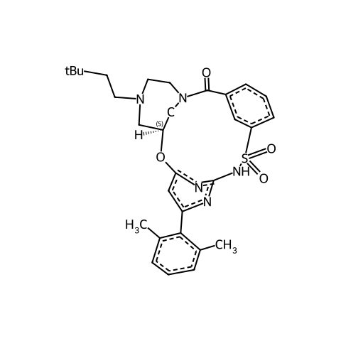 Cc1cccc(C)c1-c1cc2nc(n1)NS(=O)(=O)c1cccc(c1)C(=O)N1CCN(CCC(C)(C)C)C[C@@H](C1)O2